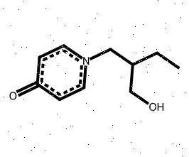 CCC(CO)Cn1ccc(=O)cc1